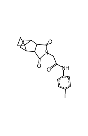 O=C(CN1C(=O)C2C(C1=O)C1CCC2C12CC2)Nc1ccc(I)cc1